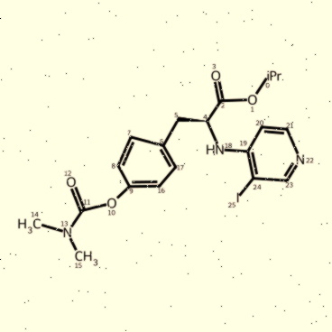 CC(C)OC(=O)[C@H](Cc1ccc(OC(=O)N(C)C)cc1)Nc1ccncc1I